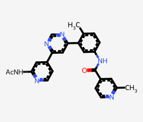 CC(=O)Nc1cc(-c2cc(-c3cc(NC(=O)c4ccnc(C)c4)ccc3C)ncn2)ccn1